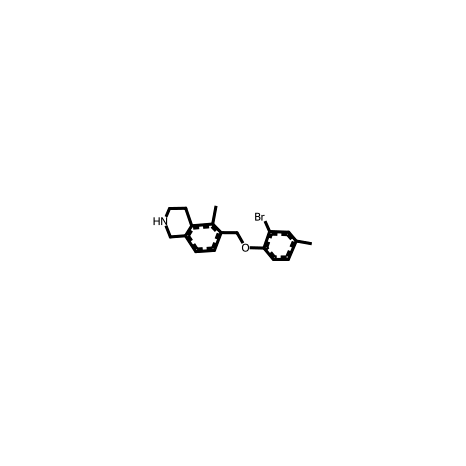 Cc1ccc(OCc2ccc3c(c2C)CCNC3)c(Br)c1